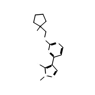 Cn1ncc(-c2ccnc(NCC3(O)CCCC3)n2)c1N